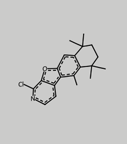 Cc1c2c(cc3oc4c(Cl)nccc4c13)C(C)(C)CCC2(C)C